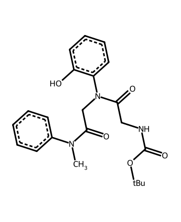 CN(C(=O)CN(C(=O)CNC(=O)OC(C)(C)C)c1ccccc1O)c1ccccc1